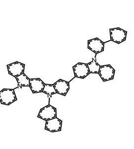 c1ccc(-c2cccc(-n3c4ccccc4c4cc(-c5ccc6c(c5)c5cc7c8ccccc8n(-c8ccccc8)c7cc5n6-c5ccc6ccccc6c5)ccc43)c2)cc1